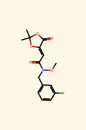 CON(Cc1cccc(F)c1)C(=O)/C=C1\OC(C)(C)OC1=O